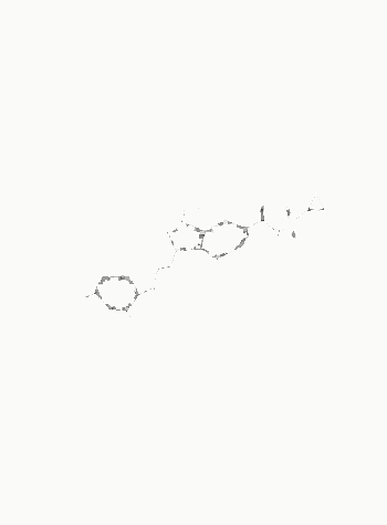 Cn1nc(CCNc2ccc(C(F)(F)F)cc2Cl)c2ccc(C(=O)NS(=O)(=O)C3CC3)cc21